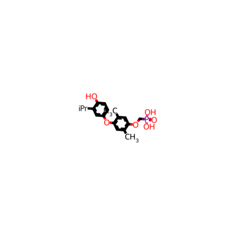 Cc1cc(Oc2ccc(O)c(C(C)C)c2)c(C)cc1OCP(=O)(O)O